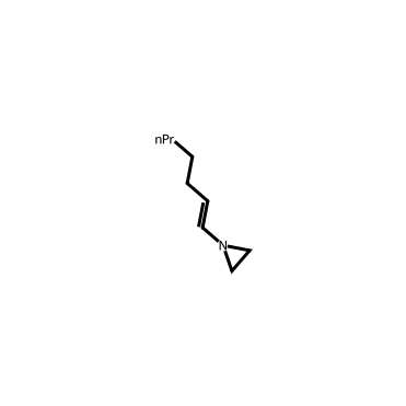 CCCCCC=CN1CC1